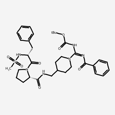 CC(C)(C)OC(=O)N/C(=N/C(=O)c1ccccc1)N1CCC(CNC(=O)[C@@H]2CCCN2C(=O)[C@@H](Cc2ccccc2)NS(C)(=O)=O)CC1